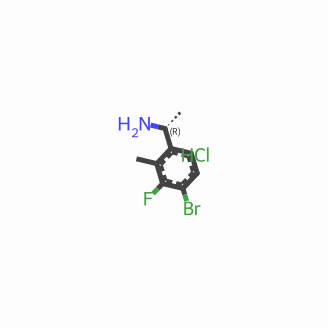 Cc1c([C@@H](C)N)ccc(Br)c1F.Cl